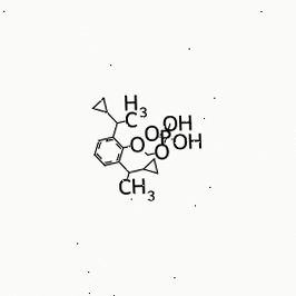 CC(c1cccc(C(C)C2CC2)c1OCOP(=O)(O)O)C1CC1